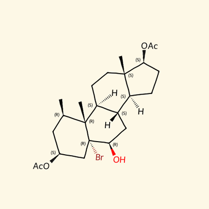 CC(=O)O[C@H]1C[C@@H](C)[C@]2(C)[C@H]3CC[C@]4(C)[C@@H](OC(C)=O)CC[C@H]4[C@@H]3C[C@@H](O)[C@@]2(Br)C1